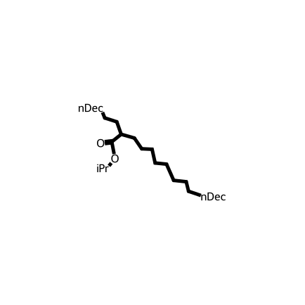 CCCCCCCCCCCCCCCCCCC(CCCCCCCCCCCC)C(=O)OC(C)C